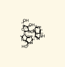 OC[C@H]1O[C@@H](n2cnc3c(O)ncnc32)[C@H](O)[C@@H]1O.c1ncc2[nH]ncc2n1